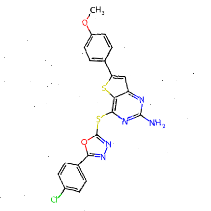 COc1ccc(-c2cc3nc(N)nc(Sc4nnc(-c5ccc(Cl)cc5)o4)c3s2)cc1